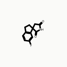 O=C1CC2(CCc3ccc(F)cc32)C(=O)N1